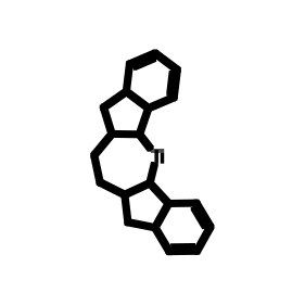 C1=CC2CC3CCC4CC5C=CC=CC5[CH]4[Ti][CH]3C2C=C1